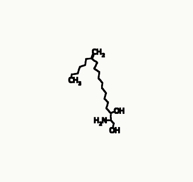 C=C(CCCCCC)CCCCCCCCCCC(O)C(N)CO